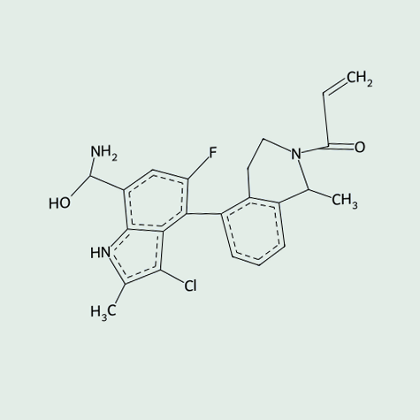 C=CC(=O)N1CCc2c(-c3c(F)cc(C(N)O)c4[nH]c(C)c(Cl)c34)cccc2C1C